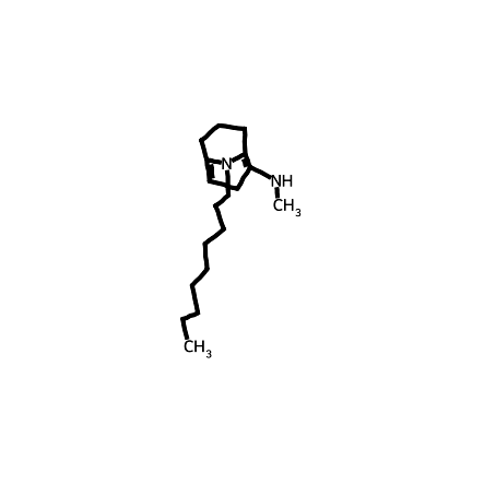 CCCCCCCCCN1C2=CCC(NC)=C1CCC2